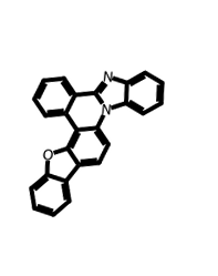 c1ccc2c(c1)nc1c3ccccc3c3c4oc5ccccc5c4ccc3n21